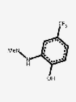 CNNc1cc(C(F)(F)F)ccc1O